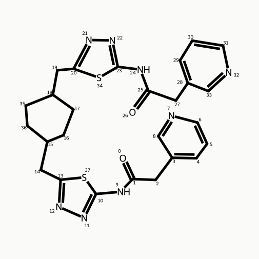 O=C(Cc1cccnc1)Nc1nnc(CC2CCC(Cc3nnc(NC(=O)Cc4cccnc4)s3)CC2)s1